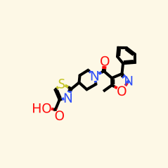 Cc1onc(-c2ccccc2)c1C(=O)N1CCC(c2nc(C(=O)O)cs2)CC1